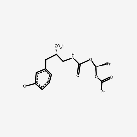 CC(C)C(=O)O[C@@H](OC(=O)NC[C@H](Cc1cccc(Cl)c1)C(=O)O)C(C)C